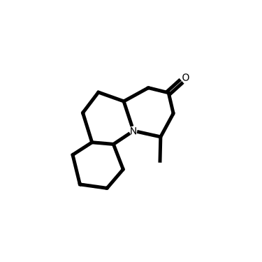 CC1CC(=O)CC2CCC3CCCCC3N12